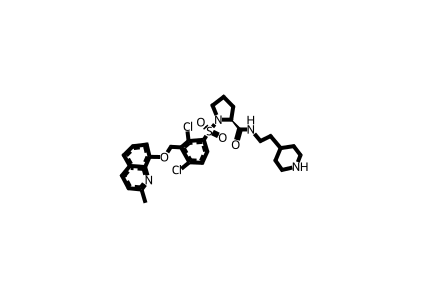 Cc1ccc2cccc(OCc3c(Cl)ccc(S(=O)(=O)N4CCC[C@H]4C(=O)NCCC4CCNCC4)c3Cl)c2n1